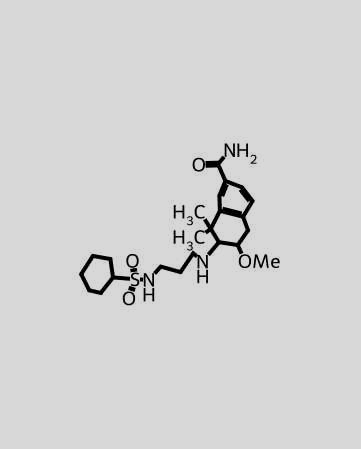 COC1Cc2ccc(C(N)=O)cc2C(C)(C)C1NCCCNS(=O)(=O)C1CCCCC1